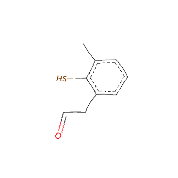 Cc1cccc(CC=O)c1S